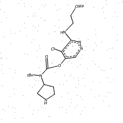 COCCNc1nncc(OC(=O)N(C2CCNC2)C(C)(C)C)c1Cl